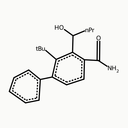 CCCC(O)c1c(C(N)=O)ccc(-c2ccccc2)c1C(C)(C)C